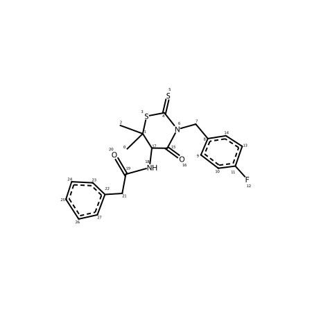 CC1(C)SC(=S)N(Cc2ccc(F)cc2)C(=O)C1NC(=O)Cc1ccccc1